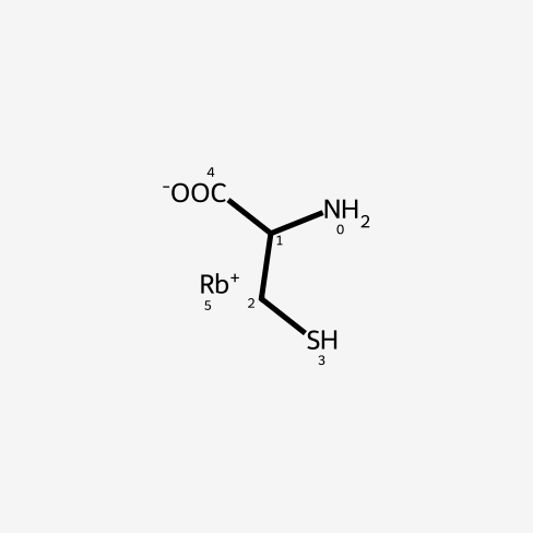 NC(CS)C(=O)[O-].[Rb+]